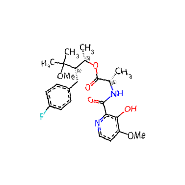 COc1ccnc(C(=O)N[C@@H](C)C(=O)O[C@@H](C)[C@H](Cc2ccc(F)cc2)C(C)(C)OC)c1O